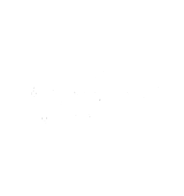 CCCCCCC(C)(CCCC)C1COCO1